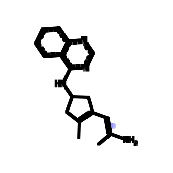 CC1=C(/C=C(\C)N)CC(Nc2ncnc3ccccc23)C1